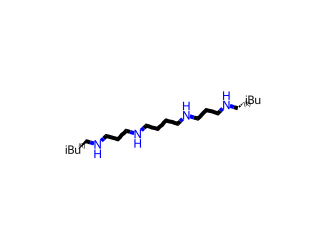 CC[C@@H](C)CNCCCNCCCCNCCCNC[C@H](C)CC